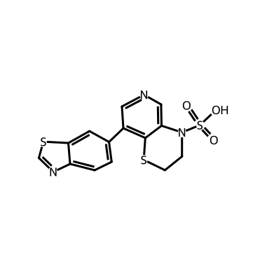 O=S(=O)(O)N1CCSc2c(-c3ccc4ncsc4c3)cncc21